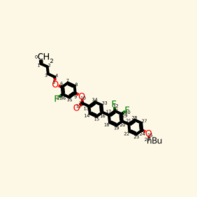 C=CCCCOc1ccc(OC(=O)c2ccc(-c3ccc(-c4ccc(OCCCC)cc4)c(F)c3F)cc2)cc1F